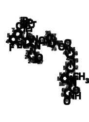 CCc1c(F)ccc2cc(O[Si](C(C)C)(C(C)C)C(C)C)cc(-c3ncc4c(N5CCC[C@]6(CCO6)C5)nc(OC[C@@]56CCCN5[C@H](COC(=O)N5CCC(CN7CCC(c8cccc9c(C%10CCC(=O)NC%10=O)nn(C)c89)CC7)CC5)CC6)nc4c3F)c12